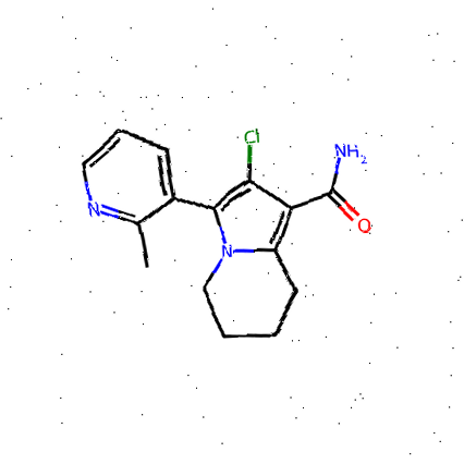 Cc1ncccc1-c1c(Cl)c(C(N)=O)c2n1CCCC2